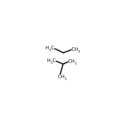 C[CH]C.C[C](C)C